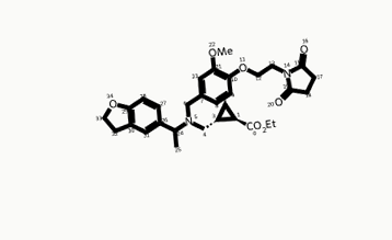 CCOC(=O)[C@@H]1C[C@H]1CN(Cc1ccc(OCCN2C(=O)CCC2=O)c(OC)c1)C(C)c1ccc2c(c1)CCO2